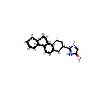 O=C1C=NC(C2CCc3c(ccc4c3ccc3ccccc34)C2)=N1